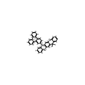 CC1(C)c2ccccc2Sc2cc3c(cc21)Oc1ccccc1N3c1ccc2c3ccccc3c3ccccc3c2c1